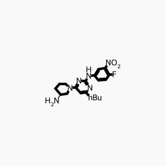 CCCCc1cc(N2CCC[C@@H](N)C2)nc(Nc2ccc(F)c([N+](=O)[O-])c2)n1